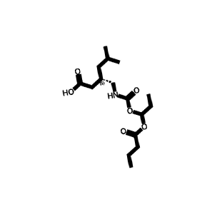 CCCC(=O)OC(CC)OC(=O)NC[C@H](CC(=O)O)CC(C)C